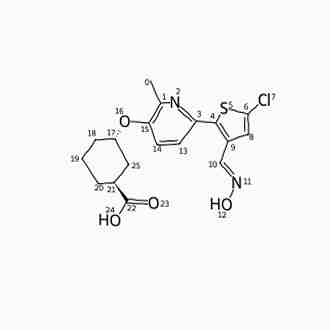 Cc1nc(-c2sc(Cl)cc2/C=N/O)ccc1O[C@H]1CCC[C@H](C(=O)O)C1